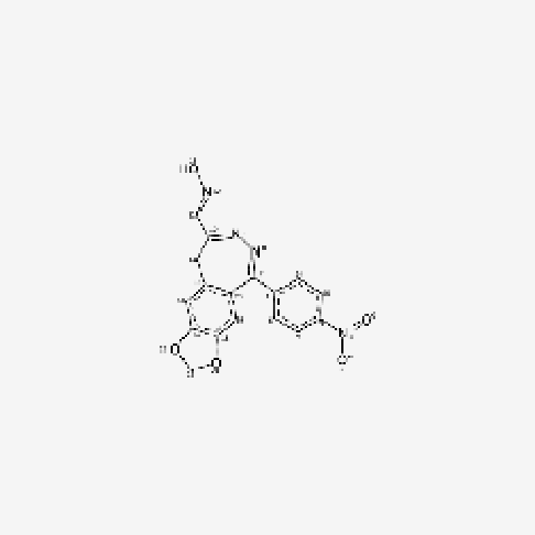 O=[N+]([O-])c1ccc(C2=NN=C(C=NO)Cc3cc4c(cc32)OCO4)cc1